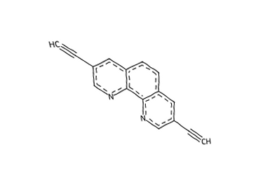 C#Cc1cnc2c(ccc3cc(C#C)cnc32)c1